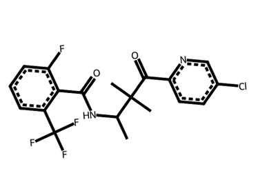 CC(NC(=O)c1c(F)cccc1C(F)(F)F)C(C)(C)C(=O)c1ccc(Cl)cn1